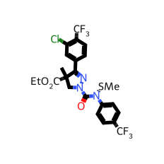 CCOC(=O)C1(C)CN(C(=O)N(SC)c2ccc(C(F)(F)F)cc2)N=C1c1ccc(C(F)(F)F)c(Cl)c1